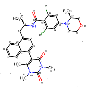 Cc1c(-c2ccc(C[C@H](NC(=O)c3c(F)cc(N4CCOC[C@@H]4C(F)(F)F)cc3F)C(=O)O)c3ccccc23)c(=O)n(C)c(=O)n1C